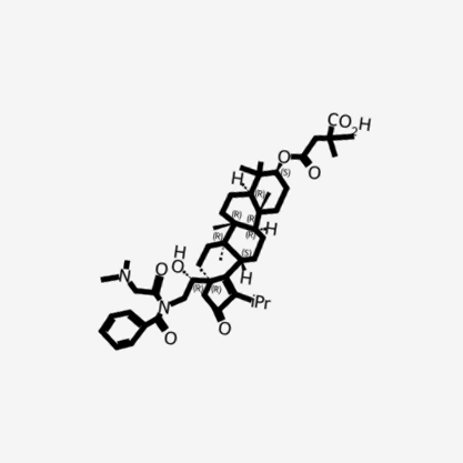 CC(C)C1=C2[C@H]3CC[C@@H]4[C@@]5(C)CC[C@H](OC(=O)CC(C)(C)C(=O)O)C(C)(C)[C@@H]5CC[C@@]4(C)[C@]3(C)CC[C@@]2([C@@H](O)CN(C(=O)CN(C)C)C(=O)c2ccccc2)CC1=O